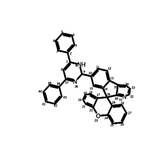 C1=C(c2ccccc2)NC(c2ccc3c(c2)C2(c4ccccc4Oc4ccccc42)c2ncccc2-3)N=C1c1ccccc1